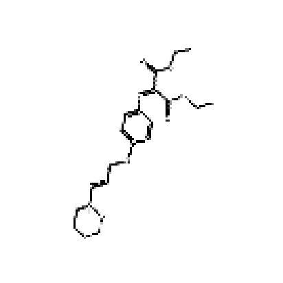 CCOC(=O)C(=Cc1ccc(OCC=C[SiH]2CCCCO2)cc1)C(=O)OCC